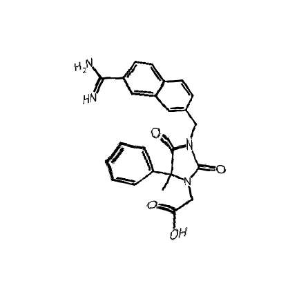 CC1(c2ccccc2)C(=O)N(Cc2ccc3ccc(C(=N)N)cc3c2)C(=O)N1CC(=O)O